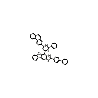 c1ccc(-c2ccc(-c3nc4c(-c5nc(-c6ccccc6)nc(-c6ccc7c(ccc8ccccc87)c6)n5)c5oc6ccccc6c5cc4s3)cc2)cc1